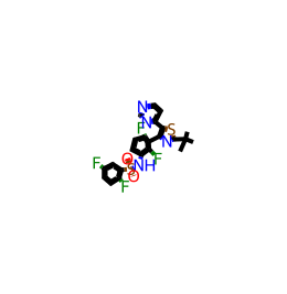 CC(C)(C)c1nc(-c2c(F)ccc(NS(=O)(=O)c3cc(F)ccc3F)c2F)c(-c2ccncn2)s1